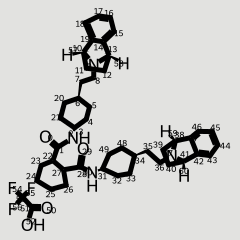 O=C(N[C@H]1CC[C@H](CCN2[C@@H]3CC[C@H]2c2ccccc23)CC1)C1CCCCC1C(=O)N[C@H]1CC[C@H](CCN2[C@@H]3CC[C@H]2c2ccccc23)CC1.O=C(O)C(F)(F)F